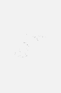 Cc1cccc2c(C(C)(C)NC(=O)C3COCCN(C(=O)OC(C)(C)C)C3)noc12